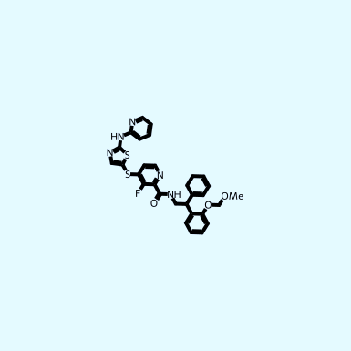 COCOc1ccccc1C(CNC(=O)c1nccc(Sc2cnc(Nc3ccccn3)s2)c1F)C1=CC=CCC1